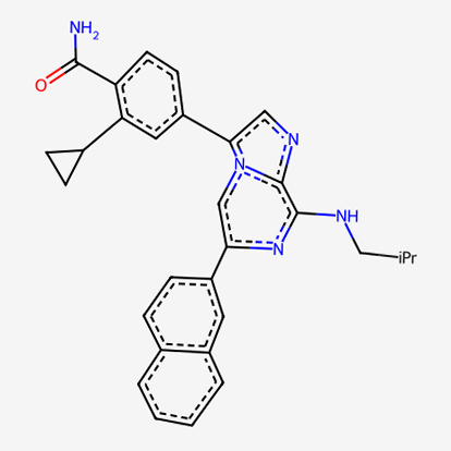 CC(C)CNc1nc(-c2ccc3ccccc3c2)cn2c(-c3ccc(C(N)=O)c(C4CC4)c3)cnc12